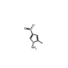 Cc1cc([N+](=O)[O-])cn1N